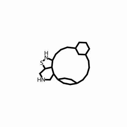 C1CCC2CCCC(CCCC3NSC4CNCC(C5CCC(C1)CC5)C34)C2